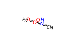 CCOCCOC(=O)CNCCC#N